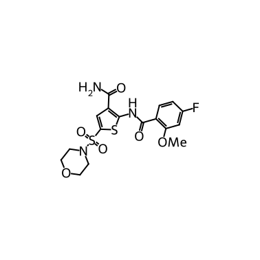 COc1cc(F)ccc1C(=O)Nc1sc(S(=O)(=O)N2CCOCC2)cc1C(N)=O